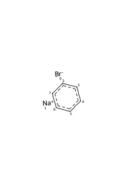 [Br-].[Na+].[c]1ccccc1